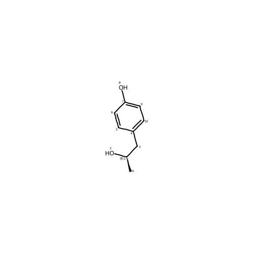 C[C@@H](O)Cc1ccc(O)cc1